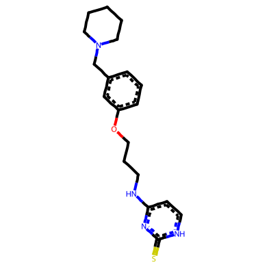 S=c1nc(NCCCOc2cccc(CN3CCCCC3)c2)cc[nH]1